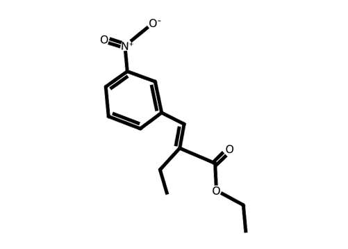 CCOC(=O)/C(=C/c1cccc([N+](=O)[O-])c1)CC